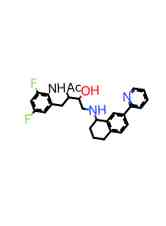 CC(=O)NC(Cc1cc(F)cc(F)c1)C(O)CNC1CCCc2ccc(-c3ccccn3)cc21